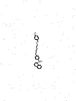 COc1ccc(CSCCCCCCc2ccc(Nc3cccc4ccccc34)cc2)cc1